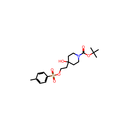 Cc1ccc(S(=O)(=O)OCCC2(O)CCN(C(=O)OC(C)(C)C)CC2)cc1